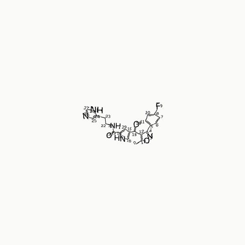 Cc1onc(-c2ccc(F)cc2)c1C(=O)c1c[nH]c(C(=O)NCCc2cnc[nH]2)c1